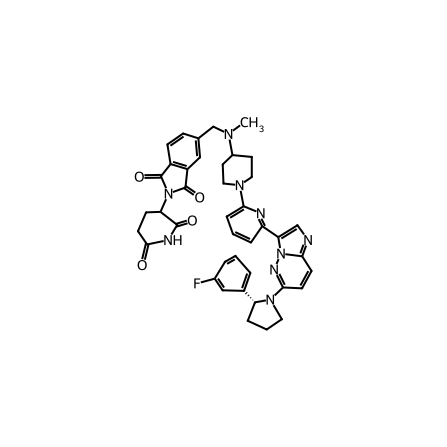 CN(Cc1ccc2c(c1)C(=O)N(C1CCC(=O)NC1=O)C2=O)C1CCN(c2cccc(-c3cnc4ccc(N5CCC[C@@H]5c5cccc(F)c5)nn34)n2)CC1